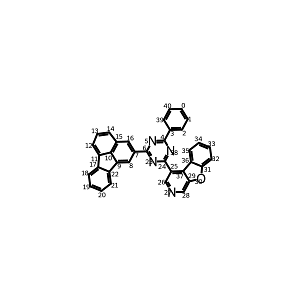 c1ccc(-c2nc(-c3cc4c5c(cccc5c3)-c3ccccc3-4)nc(-c3cncc4oc5ccccc5c34)n2)cc1